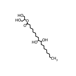 CCCCCCCCC(O)C(O)CCCCCCCC(=O)OC(CO)CO